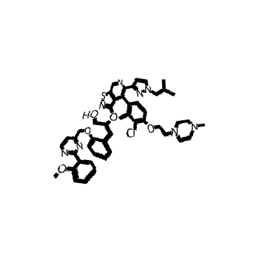 COc1ccccc1-c1nccc(COc2ccccc2CC(CO)Oc2nsc3cnc(-c4ccn(CC(C)C)n4)c(-c4ccc(OCCN5CCN(C)CC5)c(Cl)c4C)c23)n1